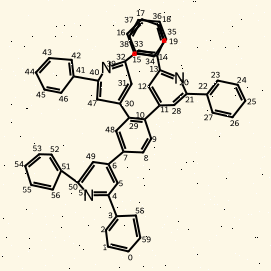 c1ccc(-c2cc(-c3ccc(-c4cc(-c5ccccc5)nc(-c5ccccc5)c4)c(-c4cc(-c5ccccc5)nc(-c5ccccc5)c4)c3)cc(-c3ccccc3)n2)cc1